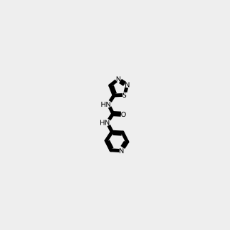 O=C(Nc1ccncc1)Nc1cnns1